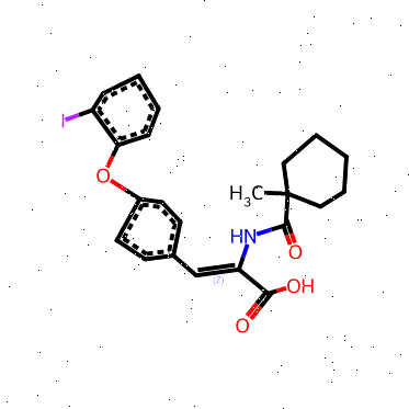 CC1(C(=O)N/C(=C\c2ccc(Oc3ccccc3I)cc2)C(=O)O)CCCCC1